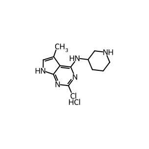 Cc1c[nH]c2nc(Cl)nc(NC3CCCNC3)c12.Cl